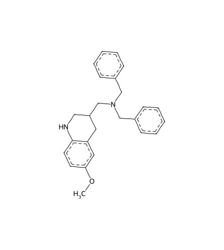 COc1ccc2c(c1)CC(CN(Cc1ccccc1)Cc1ccccc1)CN2